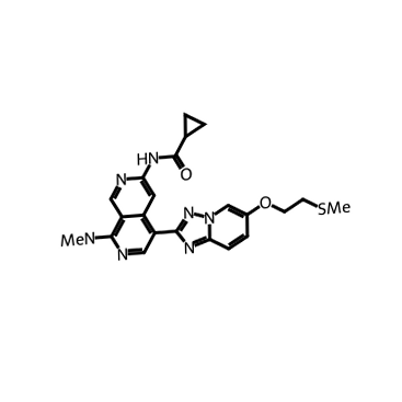 CNc1ncc(-c2nc3ccc(OCCSC)cn3n2)c2cc(NC(=O)C3CC3)ncc12